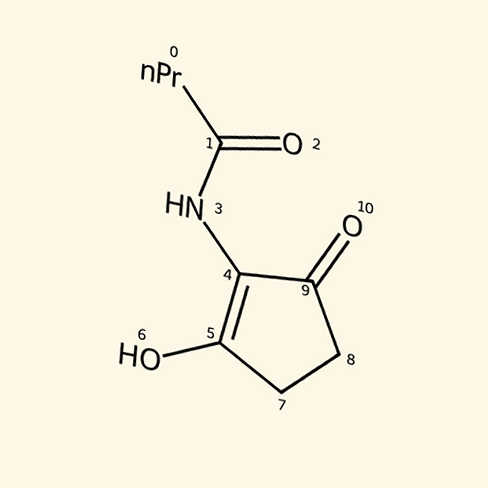 CCCC(=O)NC1=C(O)CCC1=O